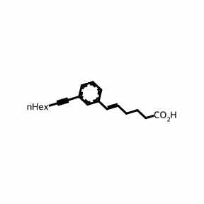 CCCCCCC#Cc1cccc(/C=C/CCCC(=O)O)c1